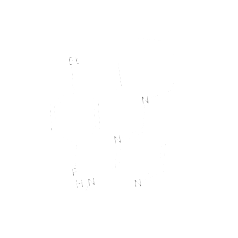 CCc1ccc(F)cc1C1CCCCCN1c1cc(C)nc(N)n1